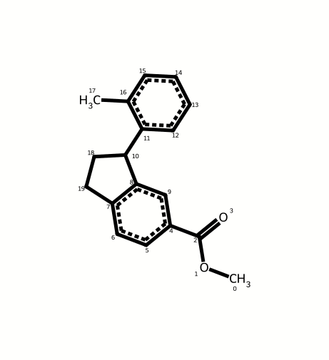 COC(=O)c1ccc2c(c1)C(c1ccccc1C)CC2